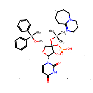 C1CCC2=NCCCN2CC1.CC(C)(C)[Si](C)(C)O[C@]1(O[PH](=O)O)[C@@H](CO[Si](c2ccccc2)(c2ccccc2)C(C)(C)C)O[C@@H](n2ccc(=O)[nH]c2=O)[C@@H]1O